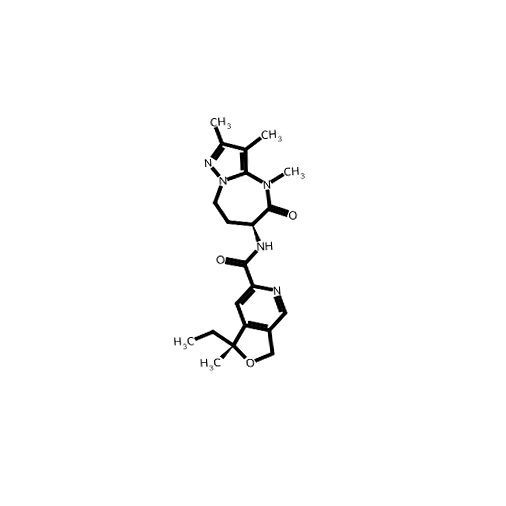 CC[C@@]1(C)OCc2cnc(C(=O)N[C@H]3CCn4nc(C)c(C)c4N(C)C3=O)cc21